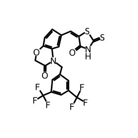 O=C1NC(=S)SC1=Cc1ccc2c(c1)N(Cc1cc(C(F)(F)F)cc(C(F)(F)F)c1)C(=O)CO2